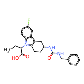 CCC(C(=O)O)n1c2c(c3cc(F)ccc31)CC(NC(=O)NCc1ccccc1)CC2